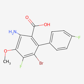 COc1c(N)c(C(=O)O)c(-c2ccc(F)cc2)c(Br)c1F